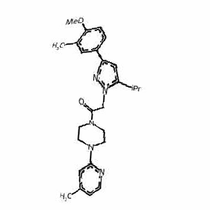 COc1ccc(-c2cc(C(C)C)n(CC(=O)N3CCN(c4cc(C)ccn4)CC3)n2)cc1C